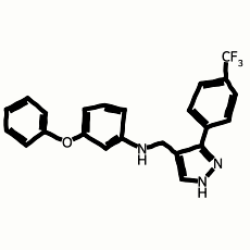 FC(F)(F)c1ccc(-c2n[nH]cc2CNc2cccc(Oc3ccccc3)c2)cc1